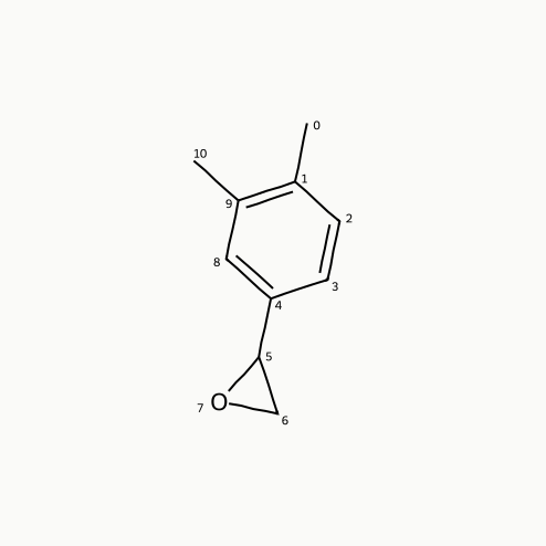 Cc1ccc(C2CO2)cc1C